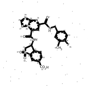 Cc1cc(CNC(=O)c2cc(C(=O)NC3CS(=O)(=O)c4cc(C(=O)O)ccc43)n3ncnc3n2)ccc1F